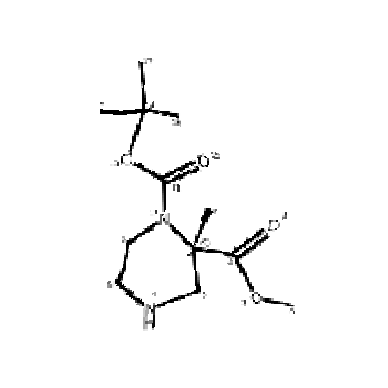 COC(=O)[C@]1(C)CNCCN1C(=O)OC(C)(C)C